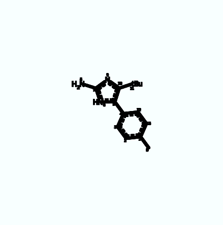 Cc1ccc(-c2[nH]c(N)nc2C(C)(C)C)cc1